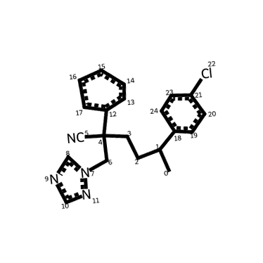 CC(CCC(C#N)(Cn1cncn1)c1ccccc1)c1ccc(Cl)cc1